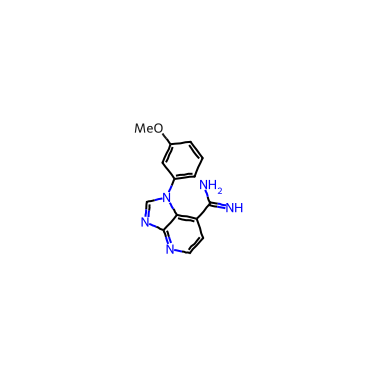 COc1cccc(-n2cnc3nccc(C(=N)N)c32)c1